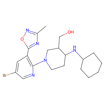 Cc1noc(-c2cc(Br)cnc2N2CCC(NC3CCCCC3)C(CO)C2)n1